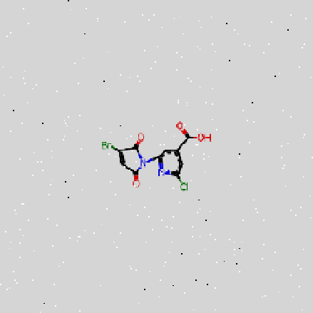 O=C(O)c1cc(Cl)nc(N2C(=O)C=C(Br)C2=O)c1